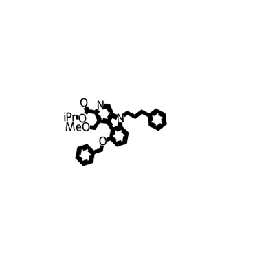 COCc1c(C(=O)OC(C)C)ncc2c1c1c(OCc3ccccc3)cccc1n2CCCc1ccccc1